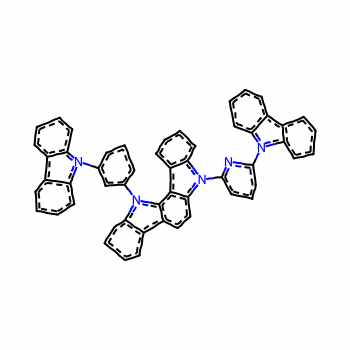 c1cc(-n2c3ccccc3c3ccccc32)cc(-n2c3ccccc3c3ccc4c(c5ccccc5n4-c4cccc(-n5c6ccccc6c6ccccc65)n4)c32)c1